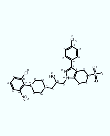 CS(=O)(=O)N1CCc2c(c(-c3ccc(C(F)(F)F)cc3)nn2CC(O)CN2CCN(c3c(Cl)cccc3[N+](=O)[O-])CC2)C1